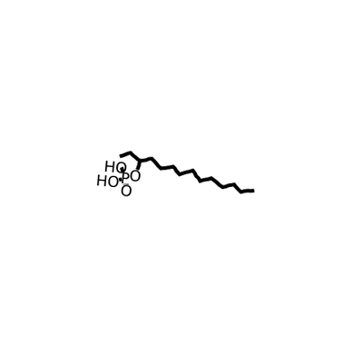 CCCCCCCCCCCC(CC)OP(=O)(O)O